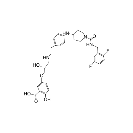 O=C(O)c1cc(OC[C@H](O)CNCCc2ccc(NC3CCN(C(=O)NCc4cc(F)ccc4F)CC3)cc2)ccc1O